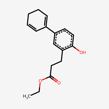 CCOC(=O)CCc1cc(C2=CCCC=C2)ccc1O